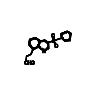 O=CCCc1cccc2cc(S(=O)(=O)c3ccccc3)cnc12